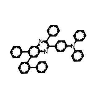 c1ccc(-c2ccccc2-c2cc3nc(-c4ccc(N(c5ccccc5)c5ccccc5)cc4)c(-c4ccccc4)nc3cc2-c2ccccc2)cc1